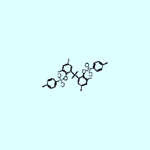 Cc1ccc(S(=O)(=O)Oc2c(C)cc(C)cc2C(C)(C)c2cc(C)cc(C)c2OS(=O)(=O)c2ccc(C)cc2)cc1